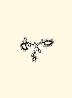 C#CCCC(CCCOC(=O)c1ccccc1)(CCCOC(=O)c1ccccc1)CCCOC(=O)c1ccccc1